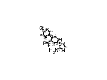 NC1=NC=C[SH]1c1ccc(-c2cc[n+]([O-])cc2)c(C(F)(F)F)c1